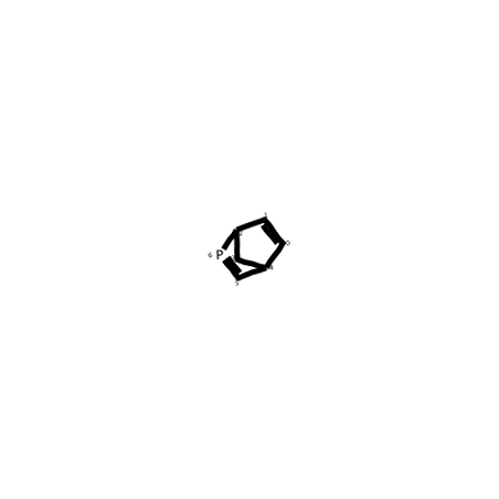 C1=CC2CC1C=P2